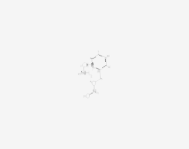 NO.O=NOCc1ccccc1